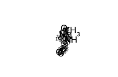 CN1C(=O)CCN(C2CCCC2)c2nc(Nc3cccc(CN4CCS(=O)(=O)CC4)c3)ncc21